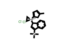 CC1=CC=[C]([Hf+2]2([CH]3C=C([Si](C)(C)C)c4ccccc43)[CH2][CH2]2)C1.[Cl-].[Cl-]